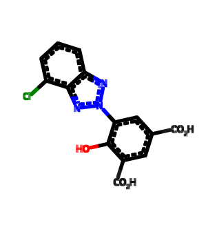 O=C(O)c1cc(C(=O)O)c(O)c(-n2nc3cccc(Cl)c3n2)c1